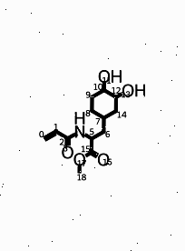 C=CC(=O)NC(CC1CCC(O)C(O)C1)C(=O)OC